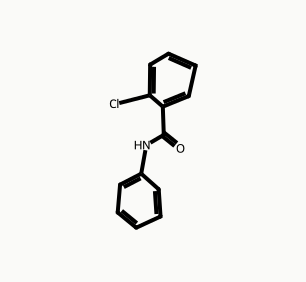 O=C(Nc1ccccc1)c1ccccc1Cl